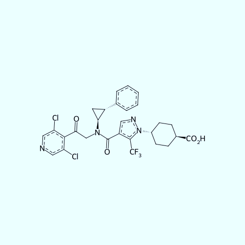 O=C(CN(C(=O)c1cnn([C@H]2CC[C@H](C(=O)O)CC2)c1C(F)(F)F)[C@H]1C[C@@H]1c1ccccc1)c1c(Cl)cncc1Cl